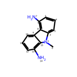 Cn1c2cccc(N)c2c2cccc(N)c21